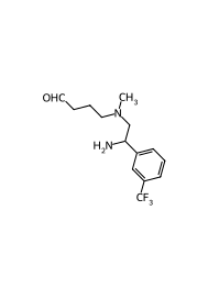 CN(CCCC=O)CC(N)c1cccc(C(F)(F)F)c1